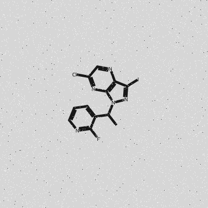 CC(c1cccnc1F)n1nc(I)c2ncc(Cl)nc21